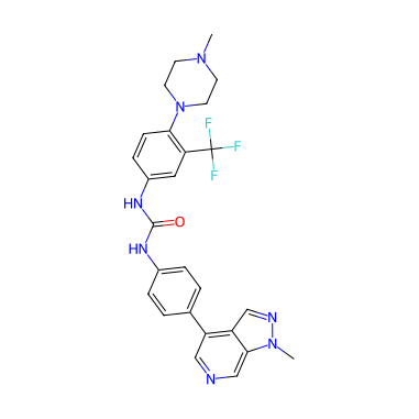 CN1CCN(c2ccc(NC(=O)Nc3ccc(-c4cncc5c4cnn5C)cc3)cc2C(F)(F)F)CC1